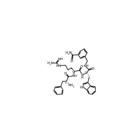 N=C(N)NCCC[C@H](NC(=O)[C@H](N)Cc1ccccc1)C(=O)N[C@@H](Cc1c[nH]c2ccccc12)C(=O)NCc1cccc(C(N)=O)c1